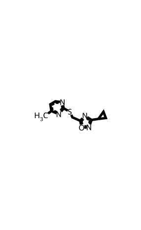 Cc1ccnc(SCc2nc(C3CC3)no2)n1